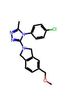 COCc1ccc2c(c1)CN(c1nnc(C)n1-c1ccc(Cl)cc1)C2